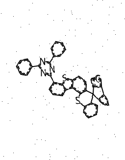 c1ccc(-c2nc(-c3ccccc3)nc(-c3cccc4c3sc3ccc5c(c34)Sc3ccccc3C53c4ccccc4-c4ccccc43)n2)cc1